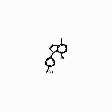 CCCCc1ccc(C2C=Cc3c(C)ccc(Br)c32)cc1